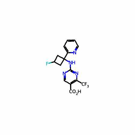 O=C(O)c1cnc(NC2(c3ccccn3)CC(F)C2)nc1C(F)(F)F